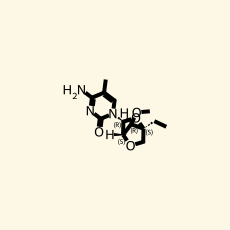 CC[C@@]12CO[C@H]([C@H](n3cc(C)c(N)nc3=O)O1)[C@H]2OC